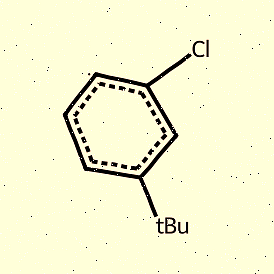 CC(C)(C)c1cc[c]c(Cl)c1